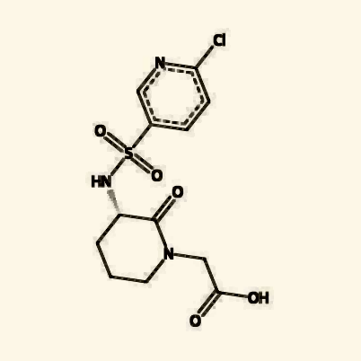 O=C(O)CN1CCC[C@H](NS(=O)(=O)c2ccc(Cl)nc2)C1=O